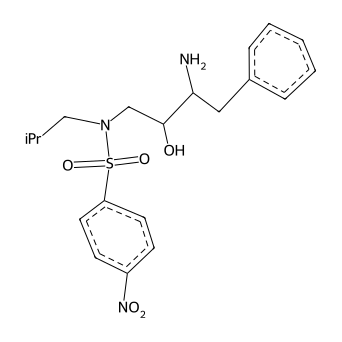 CC(C)CN(CC(O)C(N)Cc1ccccc1)S(=O)(=O)c1ccc([N+](=O)[O-])cc1